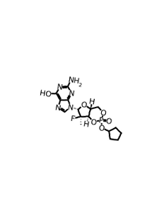 C[C@@]1(F)[C@@H]2OP(=O)(OC3CCCC3)OC[C@H]2O[C@H]1n1cnc2c(O)nc(N)nc21